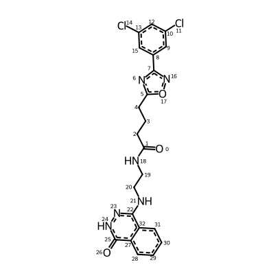 O=C(CCCc1nc(-c2cc(Cl)cc(Cl)c2)no1)NCCNc1n[nH]c(=O)c2ccccc12